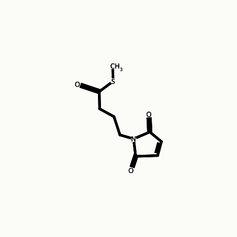 CSC(=O)CCCN1C(=O)C=CC1=O